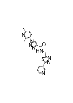 Cc1ccc(-n2cc(C(=O)NCc3nnc(-c4cccnc4)s3)nn2)c(C)n1